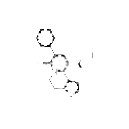 O=C(O)c1cc(-c2ccccc2)c(=O)n2c1-c1ccsc1CC2